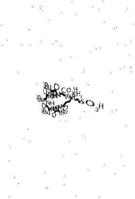 CCC(C)C(NC(=O)C(NC(=O)C(NC(=O)C(NC(=O)C(NC(=O)CCCN(C)CCCS(=O)(=O)O)C(C)CC)C(C)CC)C(C)CC)C(C)CC)C(=O)O